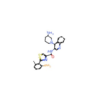 Cc1cccc(P)c1-c1nc(C(=O)Nc2cnc3ccccc3c2N2CCCC(N)C2)cs1